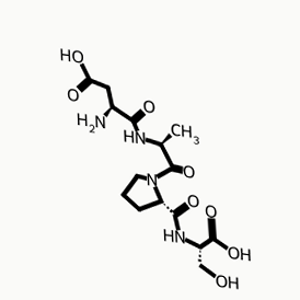 C[C@H](NC(=O)[C@@H](N)CC(=O)O)C(=O)N1CCC[C@H]1C(=O)N[C@@H](CO)C(=O)O